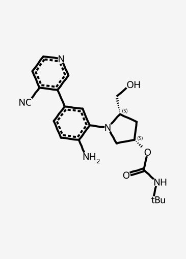 CC(C)(C)NC(=O)O[C@H]1C[C@@H](CO)N(c2cc(-c3cnccc3C#N)ccc2N)C1